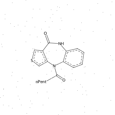 CCCCCC(=O)N1c2ccccc2NC(=O)c2cscc21